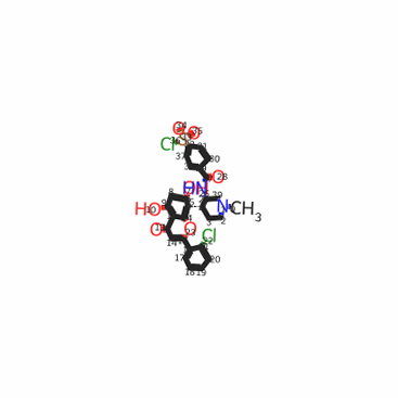 CN1CC[C@H](c2c(O)cc(O)c3c(=O)cc(-c4ccccc4Cl)oc23)[C@@H](NC(=O)c2ccc(S(=O)(=O)Cl)cc2)C1